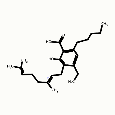 CCCCCc1cc(CC)c(C/C=C(\C)CCC=C(C)C)c(O)c1C(=O)O